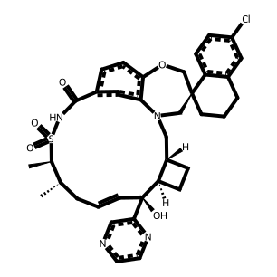 C[C@@H]1[C@@H](C)C/C=C/[C@@](O)(c2cnccn2)[C@@H]2CC[C@H]2CN2C[C@@]3(CCCc4cc(Cl)ccc43)COc3ccc(cc32)C(=O)NS1(=O)=O